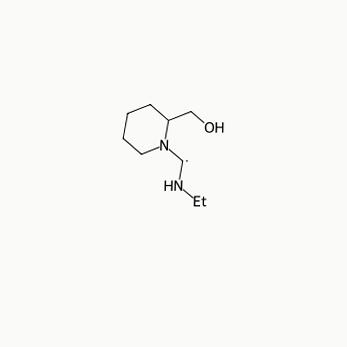 CCN[CH]N1CCCCC1CO